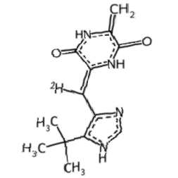 [2H]C(c1nc[nH]c1C(C)(C)C)=c1[nH]c(=O)c(=C)[nH]c1=O